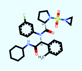 Cc1ccccc1[C@H](C(=O)NC1CCCCC1)N(C(=O)[C@@H]1CCCN1S(=O)(=O)N1CC1)c1cccc(F)c1